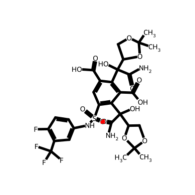 CC1(C)OCC(C(O)(C(N)=O)c2c(C(=O)O)cc(S(=O)(=O)Nc3ccc(F)c(C(F)(F)F)c3)c(C(O)(C(N)=O)C3COC(C)(C)O3)c2C(=O)O)O1